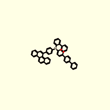 c1ccc(-c2ccc(-c3ccc(N(c4ccc(-c5cc6ccccc6c6ccc7ccccc7c56)cc4)c4ccccc4-c4ccccc4)cc3)cc2)cc1